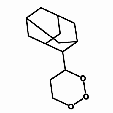 C1CC(C2C3CC4CC(C3)CC2C4)OOO1